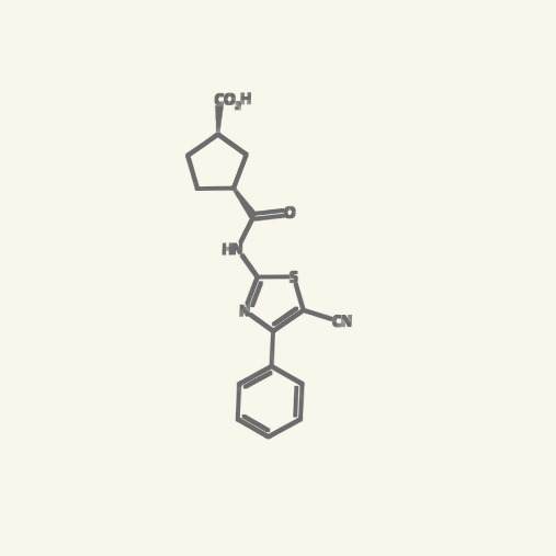 N#Cc1sc(NC(=O)[C@H]2CC[C@@H](C(=O)O)C2)nc1-c1ccccc1